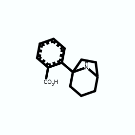 O=C(O)c1ccccc1C12CCCC(CC1)N2